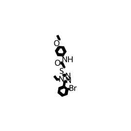 CCOc1ccc(NC(=O)CSc2nnc(-c3ccccc3Br)n2CC)cc1